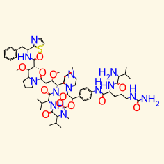 CC[C@H](C)[C@@H]([C@@H](CC(=O)N1CCC[C@H]1[C@H](OC)[C@@H](C)C(=O)N[C@@H](Cc1ccccc1)c1nccs1)OC)N(C)C(=O)[C@@H](NC(=O)[C@H](C(C)C)N(C)C(=O)OC(C(=O)N1CCN(C)CC1)c1ccc(NC(=O)[C@H](CCCNC(N)=O)NC(=O)[C@@H](N)C(C)C)cc1)C(C)C